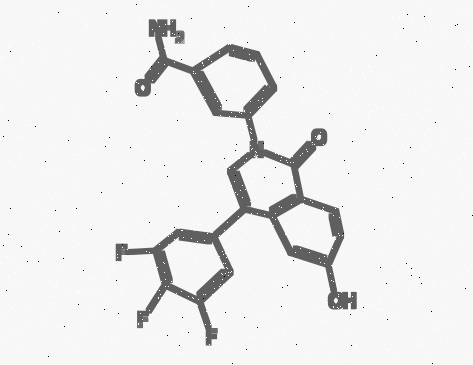 NC(=O)c1cccc(-n2cc(-c3cc(F)c(F)c(F)c3)c3cc(O)ccc3c2=O)c1